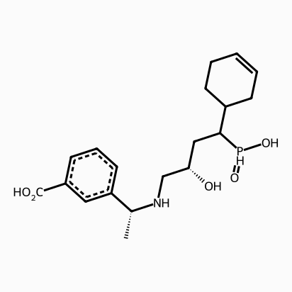 C[C@@H](NC[C@@H](O)CC(C1CC=CCC1)[PH](=O)O)c1cccc(C(=O)O)c1